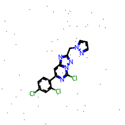 Clc1ccc(-c2cc3nc(Cn4cccn4)nn3c(Cl)n2)c(Cl)c1